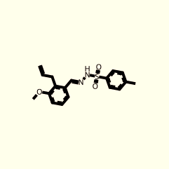 C=CCc1c(C=NNS(=O)(=O)c2ccc(C)cc2)cccc1OC